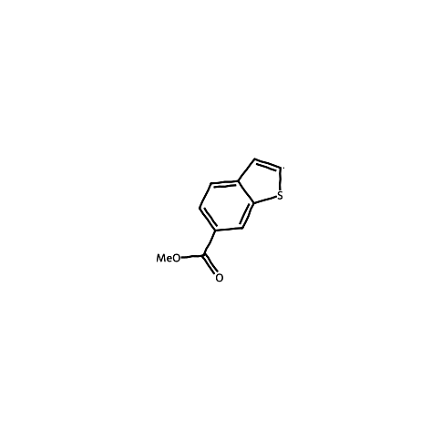 COC(=O)c1ccc2c[c]sc2c1